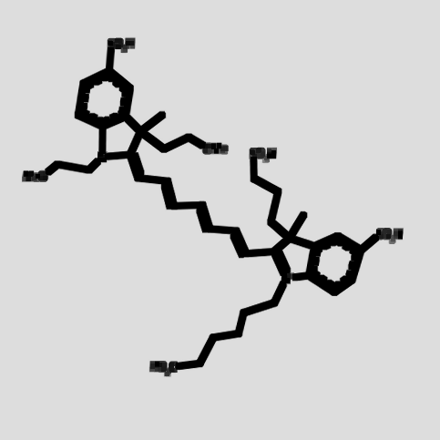 COCCN1/C(=C/C=C/C=C/C=C/C2=[N+](CCCCCC(=O)O)c3ccc(S(=O)(=O)O)cc3C2(C)CCCS(=O)(=O)O)C(C)(CCOC)c2cc(S(=O)(=O)O)ccc21